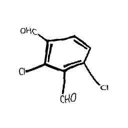 O=Cc1ccc(Cl)c(C=O)c1Cl